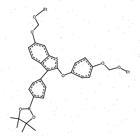 CCOCOc1ccc(Oc2sc3cc(OCOCC)ccc3c2-c2ccc(B3OC(C)(C)C(C)(C)O3)cc2)cc1